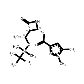 Cc1cc(C(=O)C[C@H]2NC(=O)[C@H]2[C@@H](C)O[Si](C)(C)C(C)(C)C)nn1C